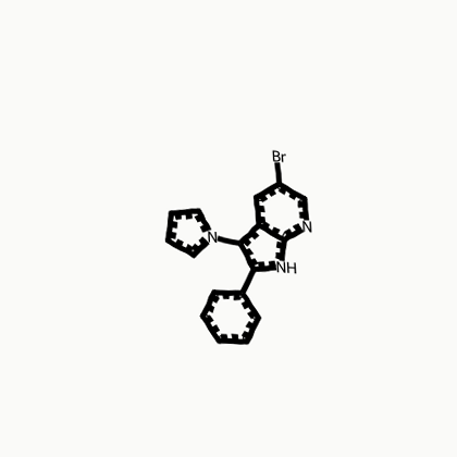 Brc1cnc2[nH]c(-c3ccccc3)c(-n3cccc3)c2c1